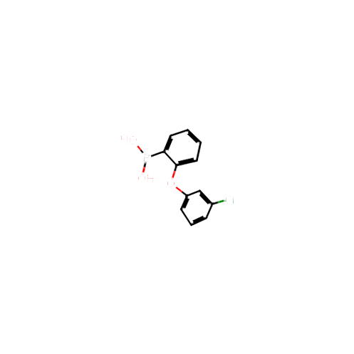 OB(O)c1ccccc1Oc1cccc(Cl)c1